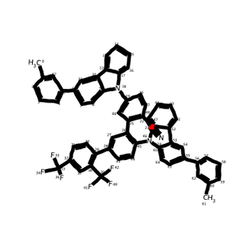 Cc1cccc(-c2ccc3c(c2)c2ccccc2n3-c2ccc(C#N)c(-c3cc(-c4ccc(C(F)(F)F)cc4C(F)(F)F)ccc3-n3c4ccccc4c4cc(-c5cccc(C)c5)ccc43)c2)c1